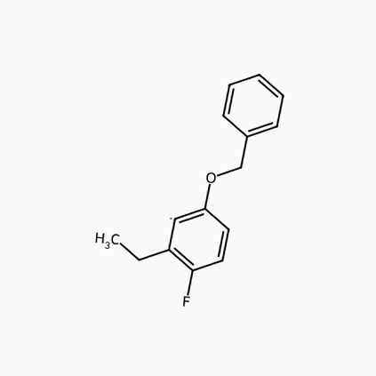 CCc1[c]c(OCc2ccccc2)ccc1F